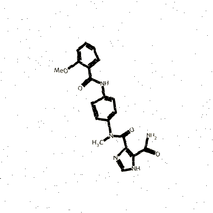 COc1ccccc1C(=O)Nc1ccc(N(C)C(=O)c2nc[nH]c2C(N)=O)cc1